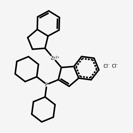 C1=CC2CC[CH]([Zr+2][CH]3C(P(C4CCCCC4)C4CCCCC4)=Cc4ccccc43)C2C=C1.[Cl-].[Cl-]